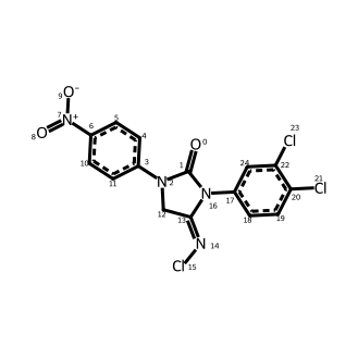 O=C1N(c2ccc([N+](=O)[O-])cc2)CC(=NCl)N1c1ccc(Cl)c(Cl)c1